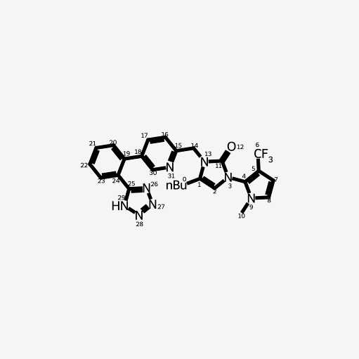 CCCCc1cn(-c2c(C(F)(F)F)ccn2C)c(=O)n1Cc1ccc(-c2ccccc2-c2nnn[nH]2)cn1